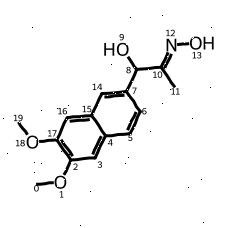 COc1cc2ccc(C(O)/C(C)=N/O)cc2cc1OC